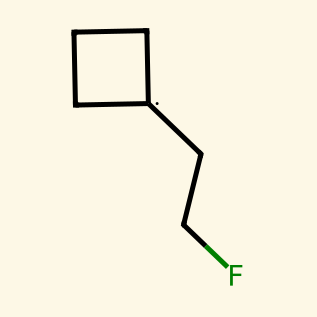 FCC[C]1CCC1